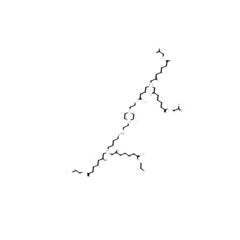 CCC(CC)COC(=O)CCCCC(O)CN(CCCC(=O)OCCN1CCN(CCSSCCCCN(CC(O)CCCCC(=O)OCCC(C)C)CC(O)CCCCC(=O)OCCC(C)C)CC1)CC(O)CCCCC(=O)OCC(CC)CC